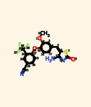 COc1cc(C=C2SC(=O)N=C2N)ccc1Oc1ccc(C#N)cc1C(F)(F)F